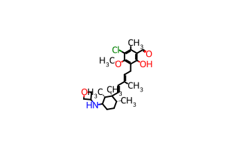 COc1c(Cl)c(C)c(C=O)c(O)c1C/C=C(C)/C=C/[C@@]1(C)[C@H](C)CCC(NC2COC2)[C@@H]1C